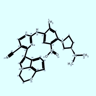 Cc1cc(N2CC[C@@H](N(C)C)C2)c([N+](=O)[O-])cc1Nc1ncc(C#N)c(-c2cn3c4c(cccc24)OCC3)n1